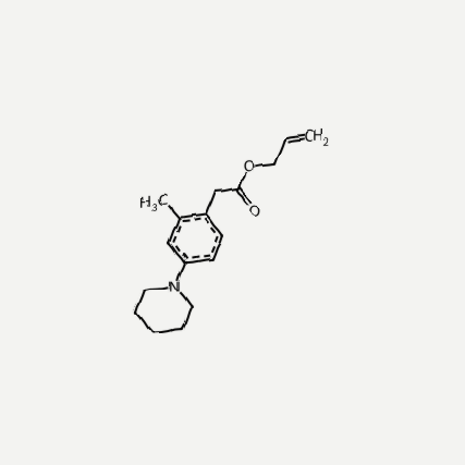 C=CCOC(=O)Cc1ccc(N2CCCCC2)cc1C